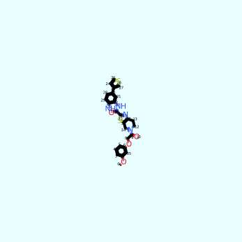 COc1cccc(OCC(=O)N2CCc3nc(C(=O)Nc4cc(-c5ccsc5)ccc4N)sc3C2)c1